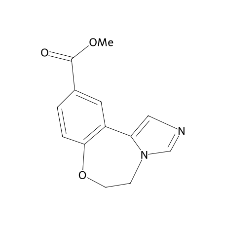 COC(=O)c1ccc2c(c1)-c1cncn1CCO2